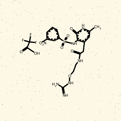 Cc1cc(CC(=O)NCCONC(=N)N)c(NS(=O)(=O)c2cccc([N+](=O)[O-])c2)c(=O)[nH]1.O=C(O)C(F)(F)F